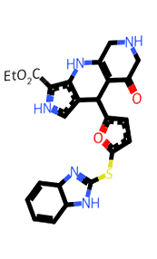 CCOC(=O)c1[nH]cc2c1NC1=C(C(=O)CNC1)C2c1ccc(SC2=NC3C=CC=CC3N2)o1